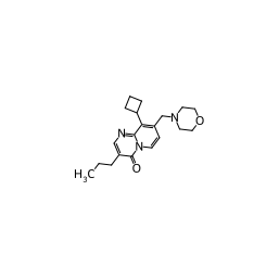 CCCc1cnc2c(C3CCC3)c(CN3CCOCC3)ccn2c1=O